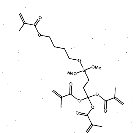 C=C(C)C(=O)OCCCCO[Si](CCC(OC(=O)C(=C)C)(OC(=O)C(=C)C)OC(=O)C(=C)C)(OC)OC